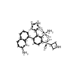 Nc1ccc2cccc(-c3ccc(S(=O)(=O)C4CNC4)c(S(N)(=O)=O)c3-c3nn[nH]n3)c2n1